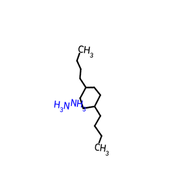 CCCCC1CCC(CCCC)CC1.N.N